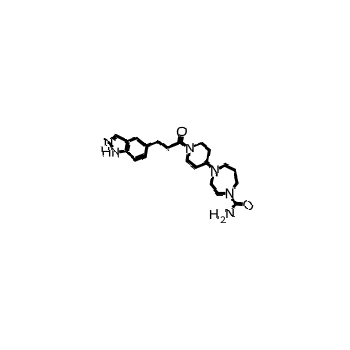 NC(=O)N1CCCN(C2CCN(C(=O)[CH]Cc3ccc4[nH]ncc4c3)CC2)CC1